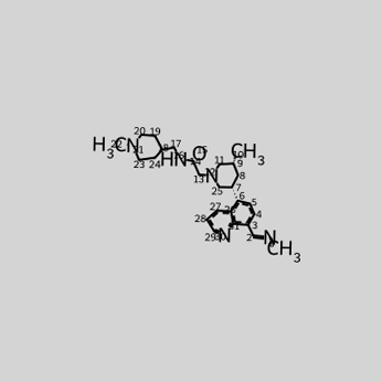 C/N=C/c1ccc([C@H]2C[C@@H](C)CN(CC(=O)NCC3CCN(C)CC3)C2)c2cccnc12